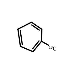 [13CH3]c1ccccc1